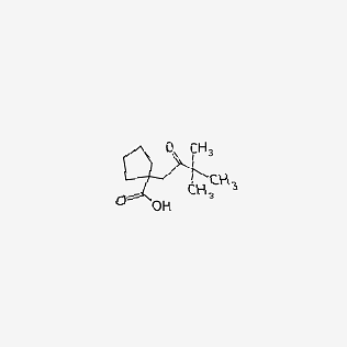 CC(C)(C)C(=O)CC1(C(=O)O)CCCC1